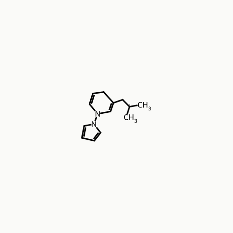 C[C](C)CC1=CN(n2cccc2)C=CC1